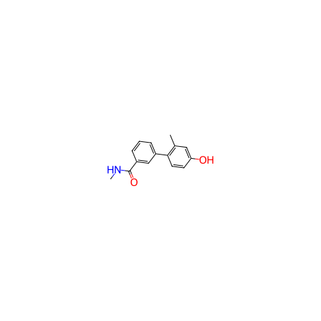 CNC(=O)c1cccc(-c2ccc(O)cc2C)c1